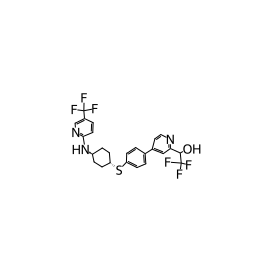 OC(c1cc(-c2ccc(S[C@H]3CC[C@H](Nc4ccc(C(F)(F)F)cn4)CC3)cc2)ccn1)C(F)(F)F